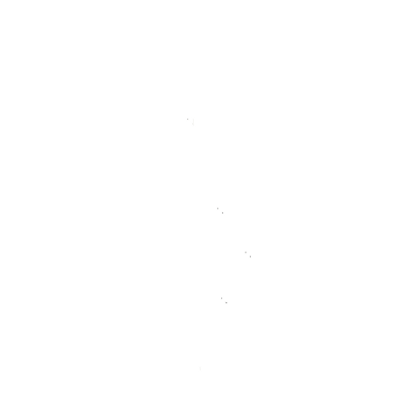 CC(C)(C)OC(=O)N1CCN(c2cccc3cc(S(=O)(=O)N4Cc5ccc(F)cc5C4)cnc23)CC1